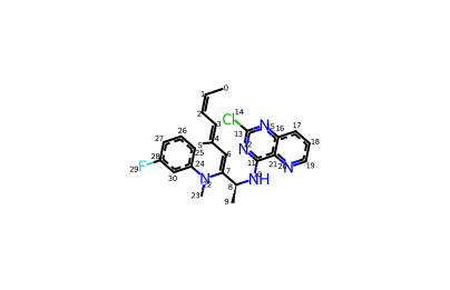 C\C=C/C=C(C)/C=C(/[C@H](C)Nc1nc(Cl)nc2cccnc12)N(C)c1cccc(F)c1